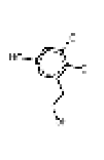 OCCc1cc(O)cc(O)c1O